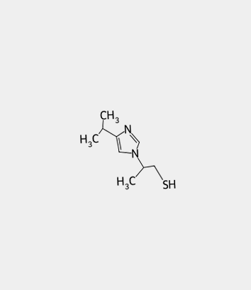 CC(C)c1cn(C(C)CS)cn1